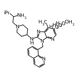 Cc1ccnc2c1nc(NC1CCN(CC(N)C(C)C)CC1)n2Cc1cccc2cccnc12.O.O.O.O